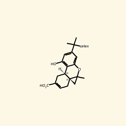 CCCCCCC(C)(C)c1cc(O)c2c(c1)OC1(C)C[C@]13CC=C(C(=O)O)C[C@@H]23